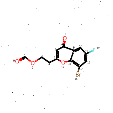 O=COCCc1cc(=O)c2cc(F)cc(Br)c2o1